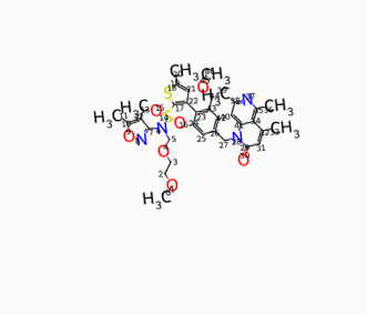 COCCOCN(c1noc(C)c1C)S(=O)(=O)c1sc(C)cc1-c1ccc(Cn2c(=O)cc(C)c3c(C)nc(C)cc32)cc1COC